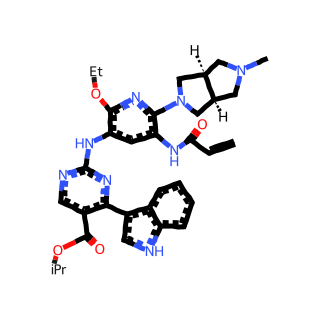 C=CC(=O)Nc1cc(Nc2ncc(C(=O)OC(C)C)c(-c3c[nH]c4ccccc34)n2)c(OCC)nc1N1C[C@H]2CN(C)C[C@H]2C1